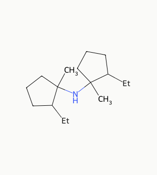 CCC1CCCC1(C)NC1(C)CCCC1CC